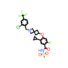 CS(=O)(=O)NC(=O)c1cc(C2CC2)c(OC2CC3(C2)CN(Cc2ccc(C(F)(F)F)cc2Cl)C3)cc1F